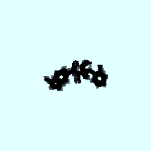 CC(C)CC(C)(Cc1ccccc1F)NC(=O)c1cnc2c(ccn2C)c1